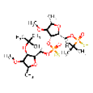 COC1[C@H](C)O[C@H](COP(=O)(S)O[C@@H]2C(OC)[C@H](C)O[C@@H]2COP(=O)(S)C(C)(C)C)[C@@H]1OC(C)(C)C